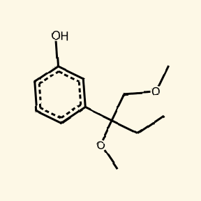 CCC(COC)(OC)c1cccc(O)c1